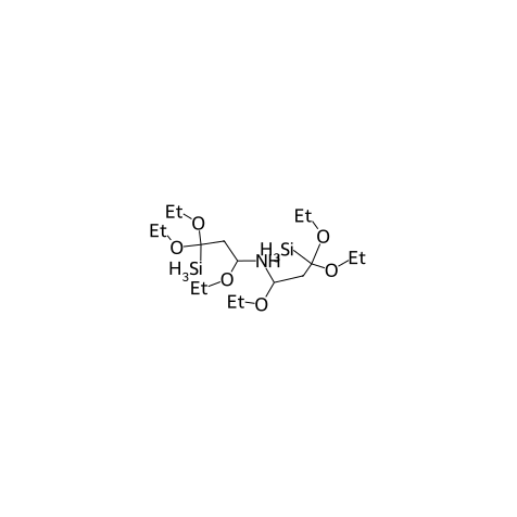 CCOC(CC([SiH3])(OCC)OCC)NC(CC([SiH3])(OCC)OCC)OCC